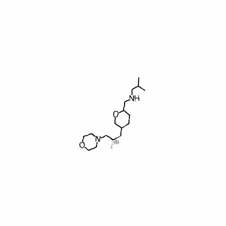 CC(C)CNCC1CCC(C[C@H](C)CN2CCOCC2)CO1